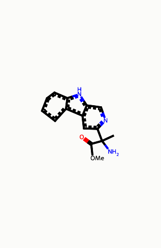 COC(=O)C(C)(N)c1cc2c(cn1)[nH]c1ccccc12